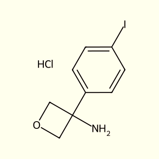 Cl.NC1(c2ccc(I)cc2)COC1